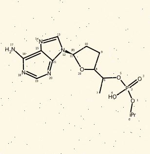 CC(C)OP(=O)(O)OC(C)C1CC[C@H](n2cnc3c(N)ncnc32)O1